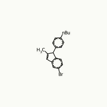 CCCCc1ccc(C2C(C)=Cc3cc(Br)ccc32)cc1